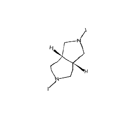 IN1C[C@H]2CN(I)C[C@H]2C1